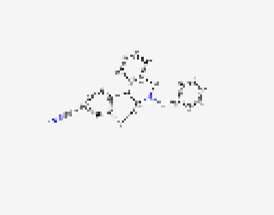 N#Cc1ccc2c(c1)CCC(N(Cc1ccccc1)Cc1ccccc1)C2